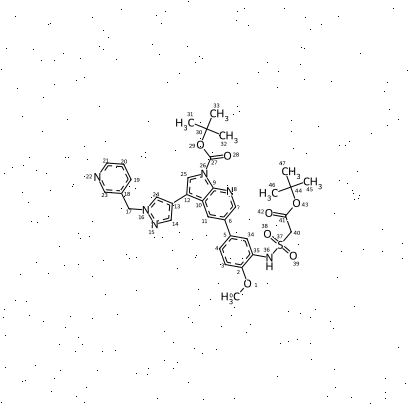 COc1ccc(-c2cnc3c(c2)c(-c2cnn(Cc4cccnc4)c2)cn3C(=O)OC(C)(C)C)cc1NS(=O)(=O)CC(=O)OC(C)(C)C